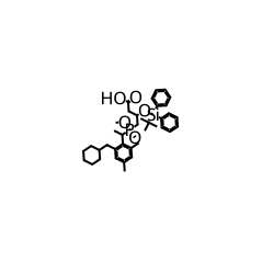 COP(=O)(CC(CC(=O)O)O[Si](c1ccccc1)(c1ccccc1)C(C)(C)C)C(C)c1c(C)cc(C)cc1CC1CCCCC1